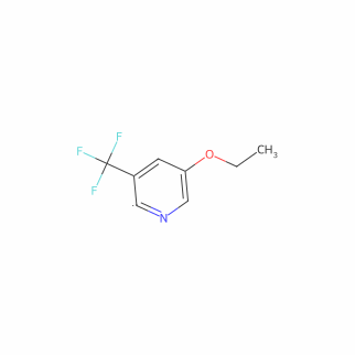 CCOc1cn[c]c(C(F)(F)F)c1